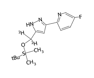 [2H]C([2H])(O[Si](C)(C)C(C)(C)C)c1cc(-c2ccc(F)cn2)n[nH]1